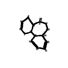 [C]1CNC2CC=CCC2C2C=CC=CC12